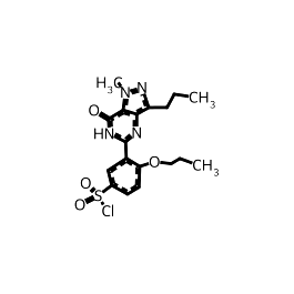 CCCOc1ccc(S(=O)(=O)Cl)cc1-c1nc2c(CCC)nn(C)c2c(=O)[nH]1